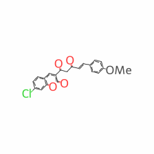 COc1ccc(C=CC(=O)CC(=O)c2cc3ccc(Cl)cc3oc2=O)cc1